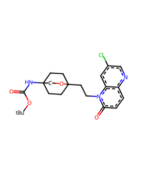 CC(C)(C)OC(=O)NC12CCC(CCn3c(=O)ccc4ncc(Cl)cc43)(CC1)OC2